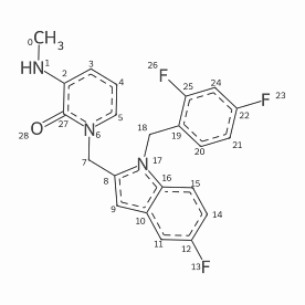 CNc1cccn(Cc2cc3cc(F)ccc3n2Cc2ccc(F)cc2F)c1=O